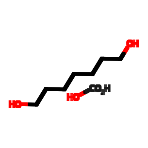 O=C(O)O.OCCCCCCCO